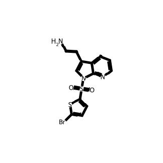 NCCc1cn(S(=O)(=O)c2ccc(Br)s2)c2ncccc12